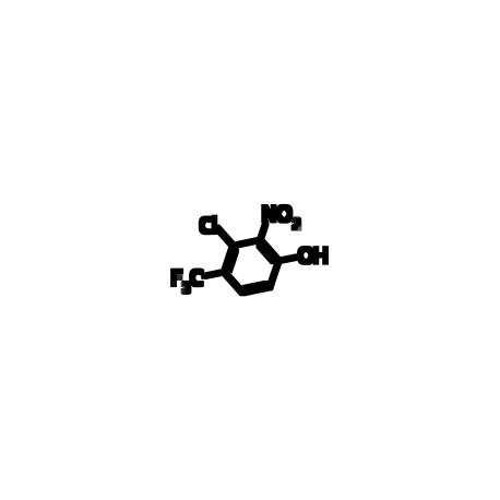 O=[N+]([O-])c1c(O)ccc(C(F)(F)F)c1Cl